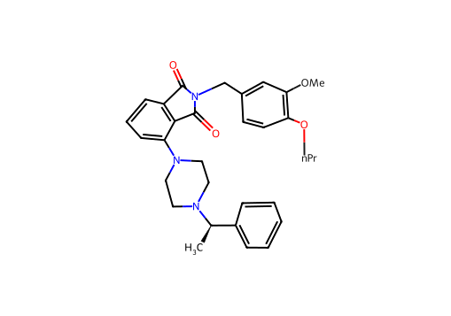 CCCOc1ccc(CN2C(=O)c3cccc(N4CCN([C@H](C)c5ccccc5)CC4)c3C2=O)cc1OC